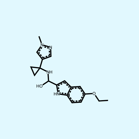 CCOc1ccc2[nH]c(C(O)NC3(c4cnn(C)c4)CC3)cc2c1